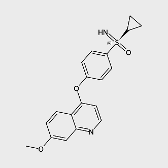 COc1ccc2c(Oc3ccc([S@](=N)(=O)C4CC4)cc3)ccnc2c1